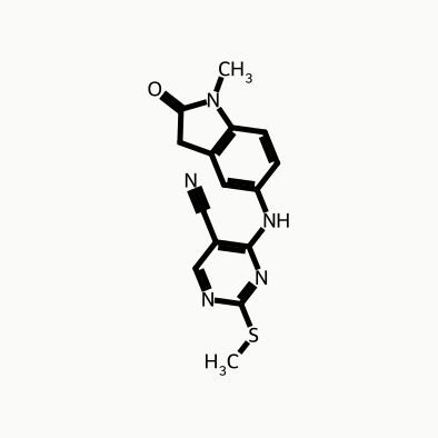 CSc1ncc(C#N)c(Nc2ccc3c(c2)CC(=O)N3C)n1